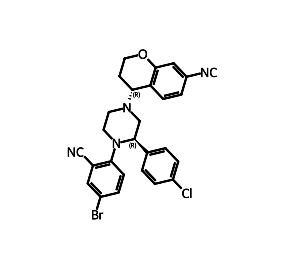 [C-]#[N+]c1ccc2c(c1)OCC[C@H]2N1CCN(c2ccc(Br)cc2C#N)[C@H](c2ccc(Cl)cc2)C1